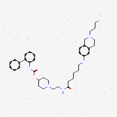 CNCCCN1CCc2cc(NCCCCCC(=O)N(C)CCN3CCC(OC(=O)Nc4ccccc4-c4ccccc4)CC3)ccc2C1